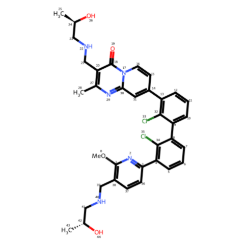 COc1nc(-c2cccc(-c3cccc(-c4ccn5c(=O)c(CNC[C@@H](C)O)c(C)nc5c4)c3Cl)c2Cl)ccc1CNC[C@@H](C)O